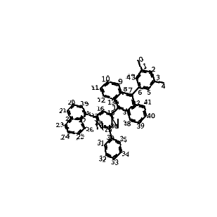 Cc1cc(C)cc(-c2c3ccccc3c(-c3cc(-c4cccc5ccccc45)nc(-c4ccccc4)n3)c3ccccc23)c1